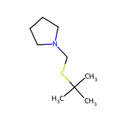 CC(C)(C)SCN1CCCC1